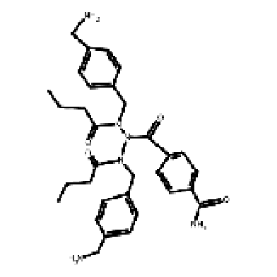 CCCC(=O)N(Cc1ccc(CN)cc1)N(C(=O)c1ccc(C(N)=O)cc1)N(Cc1ccc(CN)cc1)C(=O)CCC